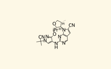 CC(C)Oc1nn(C(C)(C)C#N)cc1Nc1ncc2cc(C#N)n([C@H]3COC[C@@H]3C)c2n1